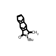 C=C1C2C3CC(C2C(=O)N1C(C)(C)C)C1C2C=CC(C2)C31